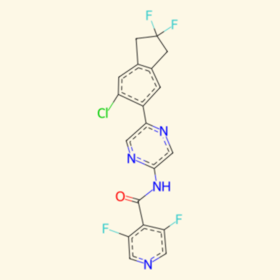 O=C(Nc1cnc(-c2cc3c(cc2Cl)CC(F)(F)C3)cn1)c1c(F)cncc1F